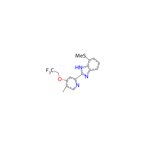 CSc1cccc2nc(-c3cc(OCC(F)(F)F)c(C)cn3)[nH]c12